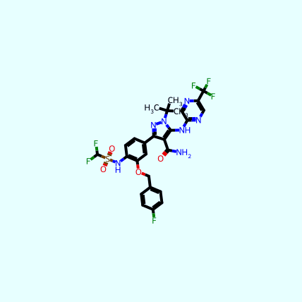 CC(C)(C)n1nc(-c2ccc(NS(=O)(=O)C(F)F)c(OCc3ccc(F)cc3)c2)c(C(N)=O)c1Nc1cnc(C(F)(F)F)cn1